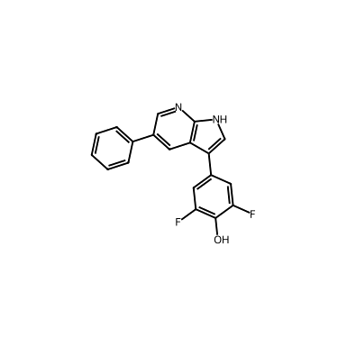 Oc1c(F)cc(-c2c[nH]c3ncc(-c4ccccc4)cc23)cc1F